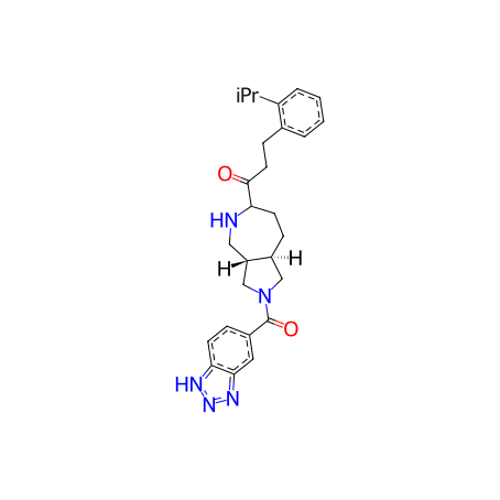 CC(C)c1ccccc1CCC(=O)C1CC[C@H]2CN(C(=O)c3ccc4[nH]nnc4c3)C[C@@H]2CN1